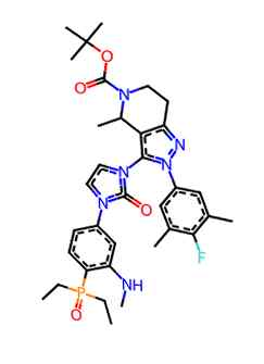 CCP(=O)(CC)c1ccc(-n2ccn(-c3c4c(nn3-c3cc(C)c(F)c(C)c3)CCN(C(=O)OC(C)(C)C)C4C)c2=O)cc1NC